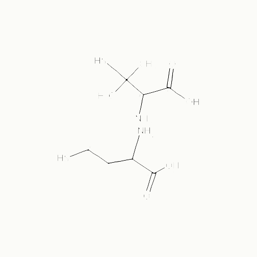 CC(C)(S)C(N)C(=O)O.NC(CCS)C(=O)O